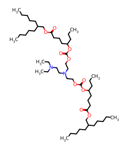 CCCCCC(CCCCC)COC(=O)CCCC(CCC)OC(=O)OCCN(CCOC(=O)OC(CCC)CCCC(=O)OCC(CCCCC)CCCCC)CCN(CC)CC